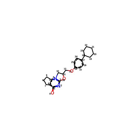 O=c1nc2n(c3c1CCC3)CC(COc1ccc(C3CCCCC3)cc1)O2